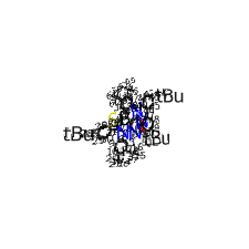 Cc1nc2c3c(n1)N(c1ccc4c(c1)C(C)(C)CCC4(C)C)c1c(sc4cc(C(C)(C)C)ccc14)B3c1cc3c(cc1N2c1ccc(C(C)(C)C)cc1-c1ccc(C(C)(C)C)cc1)C(C)(C)CCC3(C)C